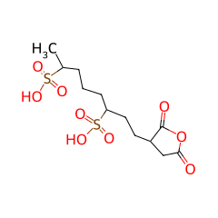 CC(CCCC(CCC1CC(=O)OC1=O)S(=O)(=O)O)S(=O)(=O)O